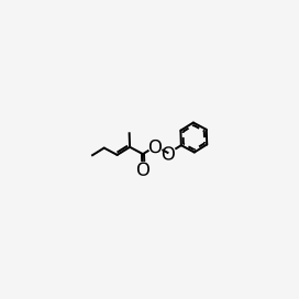 CC/C=C(\C)C(=O)OOc1ccccc1